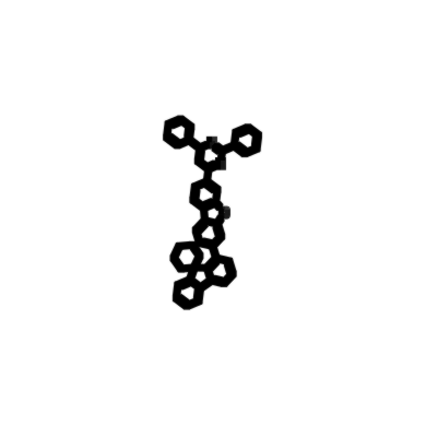 c1ccc(-c2cc(-c3ccc4c(c3)oc3cc(-c5cccc6c5C5(CCCCC5)c5ccccc5-6)ccc34)nc(-c3ccccc3)n2)cc1